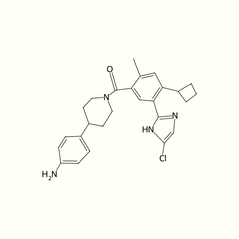 Cc1cc(C2CCC2)c(-c2ncc(Cl)[nH]2)cc1C(=O)N1CCC(c2ccc(N)cc2)CC1